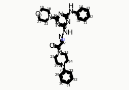 O=C(/C=N/Nc1nc(Nc2ccccc2)nc(N2CCOCC2)n1)N1CCN(c2ccccc2)CC1